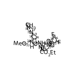 CCOC(=O)n1nc(NC(=O)c2ccc(N3CCN(C)CC3)cc2NCCOC)c2c1CCN(S(=O)(=O)c1cc(F)cc(F)c1)C2